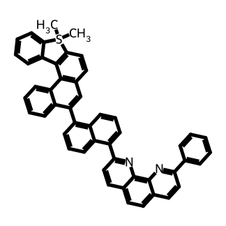 CS1(C)c2ccccc2-c2c1ccc1cc(-c3cccc4c(-c5ccc6ccc7ccc(-c8ccccc8)nc7c6n5)cccc34)c3ccccc3c21